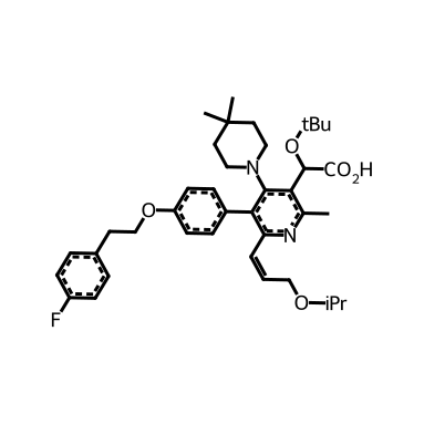 Cc1nc(/C=C\COC(C)C)c(-c2ccc(OCCc3ccc(F)cc3)cc2)c(N2CCC(C)(C)CC2)c1C(OC(C)(C)C)C(=O)O